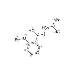 CCCC(CC)NCC(O)c1ccccc1OCC